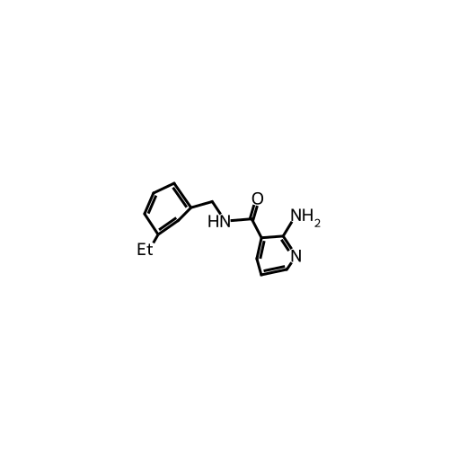 CCc1cccc(CNC(=O)c2cccnc2N)c1